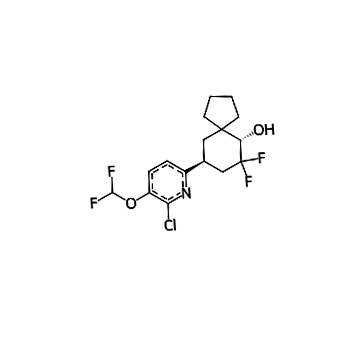 O[C@@H]1C(F)(F)C[C@@H](c2ccc(OC(F)F)c(Cl)n2)CC12CCCC2